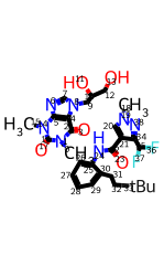 Cn1c(=O)c2c(ncn2CC(O)CO)n(C)c1=O.Cn1cc(C(=O)Nc2ccccc2CCC(C)(C)C)c(C(F)F)n1